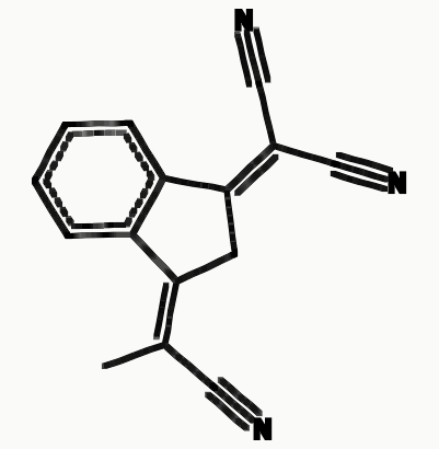 C/C(C#N)=C1/CC(=C(C#N)C#N)c2ccccc21